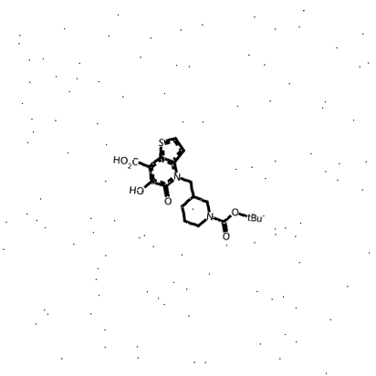 CC(C)(C)OC(=O)N1CCCC(Cn2c(=O)c(O)c(C(=O)O)c3sccc32)C1